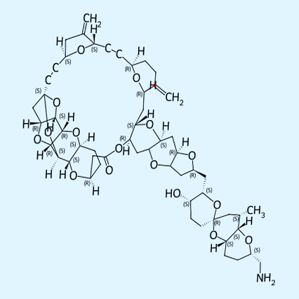 C=C1C[C@@H]2CC[C@@]34C[C@H]5O[C@H]6[C@@H](O3)[C@H]3O[C@H](CC[C@@H]3O[C@H]6[C@H]5O4)CC(=O)O[C@@H]3CC4OC5C[C@H](C[C@@H]6O[C@@]7(CC[C@@H]6O)C[C@H](C)[C@@H]6O[C@H](CN)CC[C@@H]6O7)O[C@@H]5C[C@@H]4O[C@H]3C[C@H]3O[C@H](CCC3=C)CC[C@@H]1O2